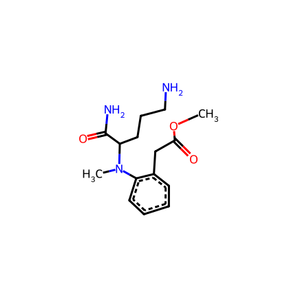 COC(=O)Cc1ccccc1N(C)C(CCCN)C(N)=O